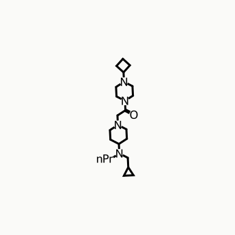 CCCN(CC1CC1)C1CCN(CC(=O)N2CCN(C3CCC3)CC2)CC1